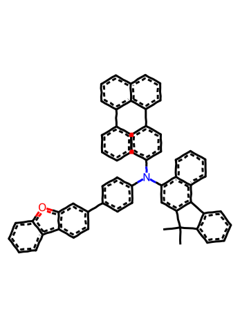 CC1(C)c2ccccc2-c2c1cc(N(c1ccc(-c3ccc4c(c3)oc3ccccc34)cc1)c1ccc(-c3cccc4cccc(-c5ccccc5)c34)cc1)c1ccccc21